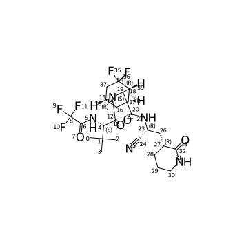 CC(C)(C)[C@H](NC(=O)C(F)(F)F)C(=O)N1[C@@H]2CC[C@H]([C@H]1C(=O)N[C@@H](C#N)C[C@H]1CCCNC1=O)C(F)(F)C2